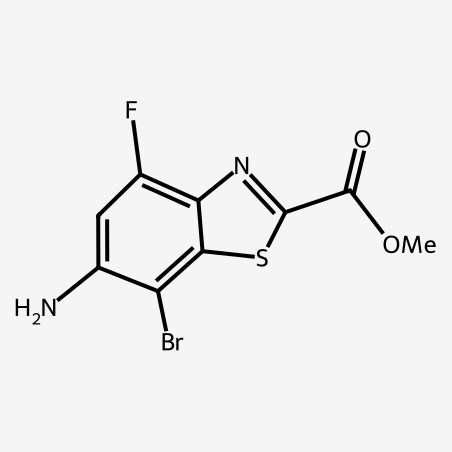 COC(=O)c1nc2c(F)cc(N)c(Br)c2s1